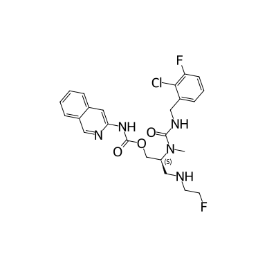 CN(C(=O)NCc1cccc(F)c1Cl)[C@@H](CNCCF)COC(=O)Nc1cc2ccccc2cn1